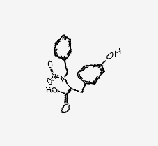 O=C(O)C(Cc1ccc(O)cc1)N(Cc1ccccc1)[N+](=O)[O-]